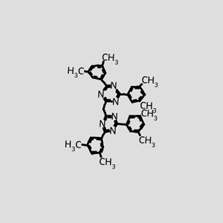 Cc1cc(C)cc(-c2nc(Cc3nc(-c4cc(C)cc(C)c4)nc(-c4cc(C)cc(C)c4)n3)nc(-c3cc(C)cc(C)c3)n2)c1